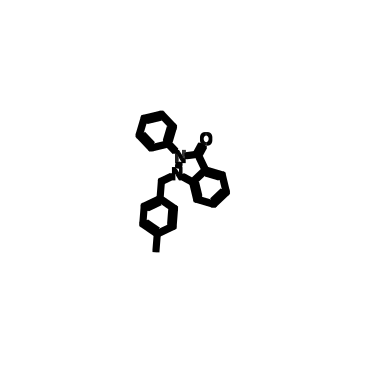 Cc1ccc(Cn2c3ccccc3c(=O)n2-c2ccccc2)cc1